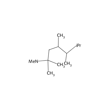 CNC(C)(C)CC(C)C(C)C(C)C